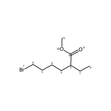 CCC(CCCCBr)C(=O)OC